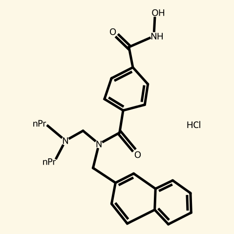 CCCN(CCC)CN(Cc1ccc2ccccc2c1)C(=O)c1ccc(C(=O)NO)cc1.Cl